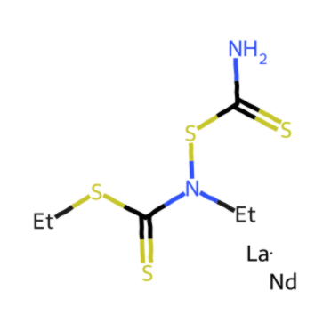 CCSC(=S)N(CC)SC(N)=S.[La].[Nd]